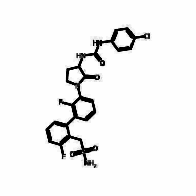 NS(=O)(=O)Cc1c(F)cccc1-c1cccc(N2CCC(NC(=O)Nc3ccc(Cl)cc3)C2=O)c1F